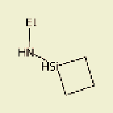 CCN[SiH]1CCC1